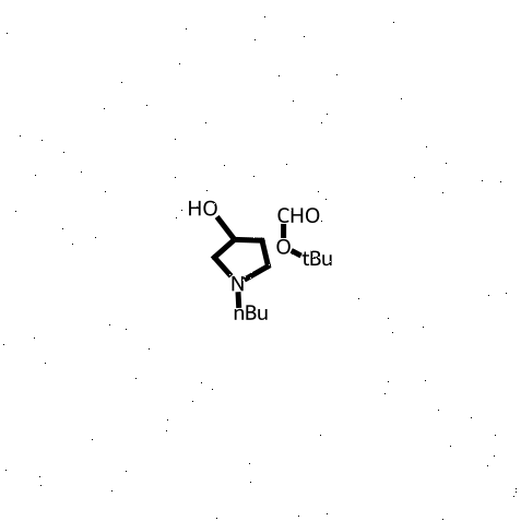 CC(C)(C)OC=O.CCCCN1CCC(O)C1